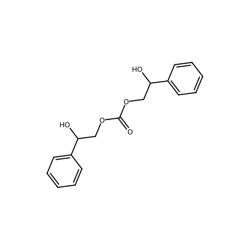 O=C(OCC(O)c1ccccc1)OCC(O)c1ccccc1